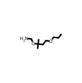 CCCOCCC(C)(C)OCN